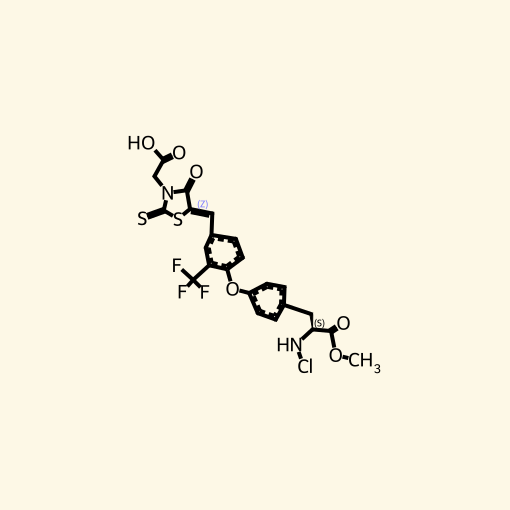 COC(=O)[C@H](Cc1ccc(Oc2ccc(/C=C3\SC(=S)N(CC(=O)O)C3=O)cc2C(F)(F)F)cc1)NCl